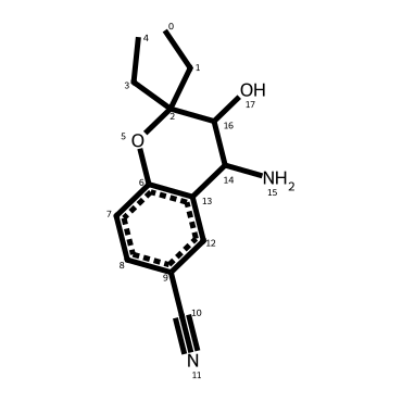 CCC1(CC)Oc2ccc(C#N)cc2C(N)C1O